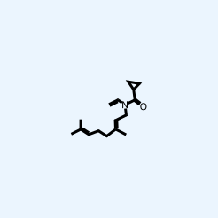 C=CN(C/C=C(\C)CCC=C(C)C)C(=O)C1CC1